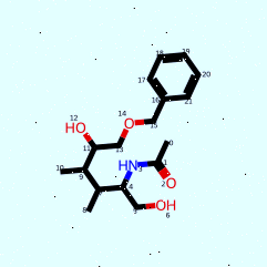 CC(=O)NC(CO)C(C)C(C)C(O)COCc1ccccc1